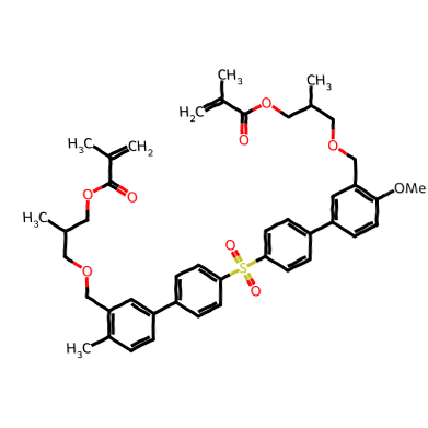 C=C(C)C(=O)OCC(C)COCc1cc(-c2ccc(S(=O)(=O)c3ccc(-c4ccc(OC)c(COCC(C)COC(=O)C(=C)C)c4)cc3)cc2)ccc1C